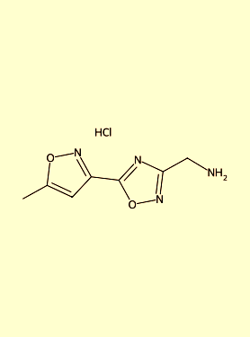 Cc1cc(-c2nc(CN)no2)no1.Cl